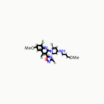 COCCCN[C@@H]1CCN(c2nc3c(F)cc(OC)cc3c(C)c2-c2nc(C)no2)[C@@H](C)C1